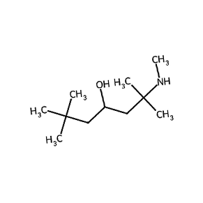 CNC(C)(C)CC(O)CC(C)(C)C